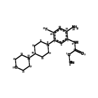 CC(C)(C)OC(=O)Nc1cc(N2CCC(N3CCOCC3)CC2)c(F)cc1N